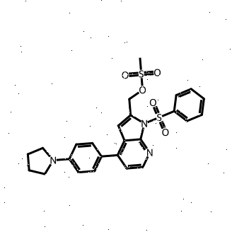 CS(=O)(=O)OCc1cc2c(-c3ccc(N4CCCC4)cc3)ccnc2n1S(=O)(=O)c1ccccc1